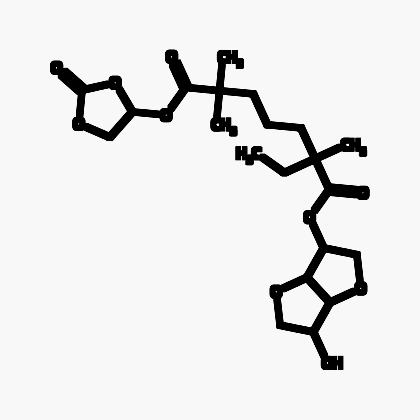 CCC(C)(CCCC(C)(C)C(=O)OC1COC(=O)O1)C(=O)OC1COC2C(O)COC12